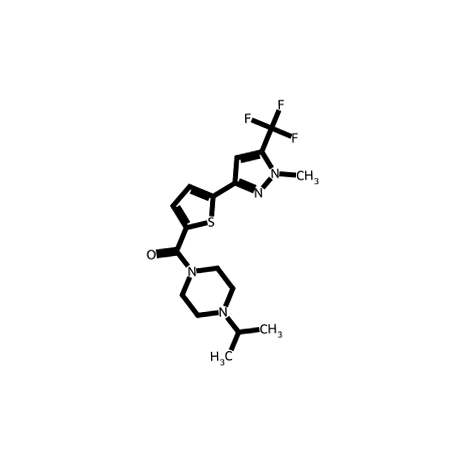 CC(C)N1CCN(C(=O)c2ccc(-c3cc(C(F)(F)F)n(C)n3)s2)CC1